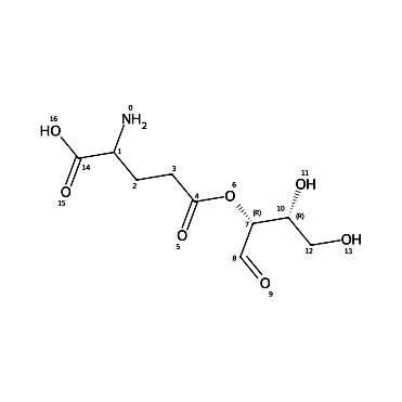 NC(CCC(=O)O[C@@H](C=O)[C@H](O)CO)C(=O)O